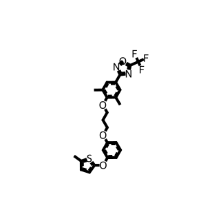 Cc1ccc(Oc2cccc(OCCCOc3c(C)cc(-c4noc(C(F)(F)F)n4)cc3C)c2)s1